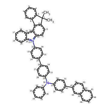 CC1(C)c2ccccc2-c2c1ccc1c2c2ccccc2n1-c1ccc(-c2ccc(N(c3ccccc3)c3ccc(-c4ccc5ccccc5c4)cc3)cc2)cc1